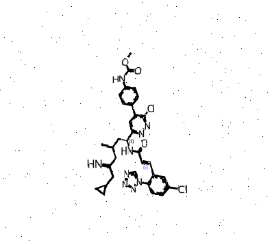 COC(=O)Nc1ccc(-c2cc([C@H](CC(C)CC(=N)CC3CC3)NC(=O)/C=C/c3cc(Cl)ccc3-n3cnnn3)nnc2Cl)cc1